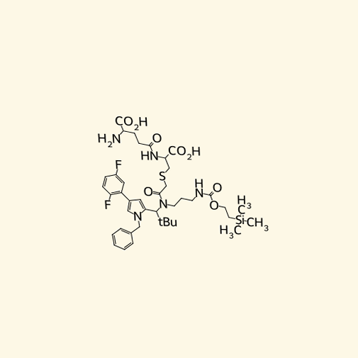 CC(C)(C)C(c1cc(-c2cc(F)ccc2F)cn1Cc1ccccc1)N(CCCNC(=O)OCC[Si](C)(C)C)C(=O)CSCC(NC(=O)CCC(N)C(=O)O)C(=O)O